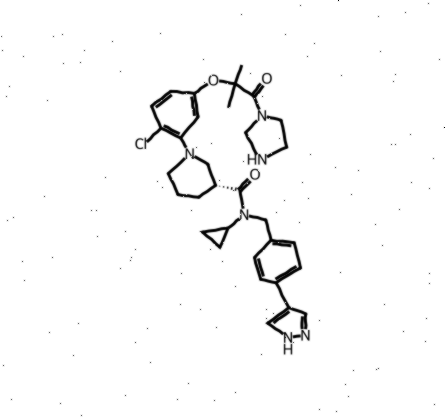 CC(C)(Oc1ccc(Cl)c(N2CCC[C@@H](C(=O)N(Cc3ccc(-c4cn[nH]c4)cc3)C3CC3)C2)c1)C(=O)N1CCNCC1